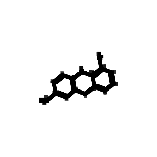 Bc1ccc2c(c1)Cc1cccc(Br)c1O2